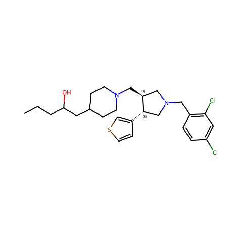 CCCC(O)CC1CCN(C[C@H]2CN(Cc3ccc(Cl)cc3Cl)C[C@@H]2c2ccsc2)CC1